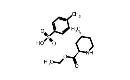 CCOC(=O)[C@H]1C[C@H](C)CCN1.Cc1ccc(S(=O)(=O)O)cc1